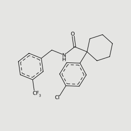 O=C(NCc1cccc(C(F)(F)F)c1)C1(c2ccc(Cl)cc2)CCCCC1